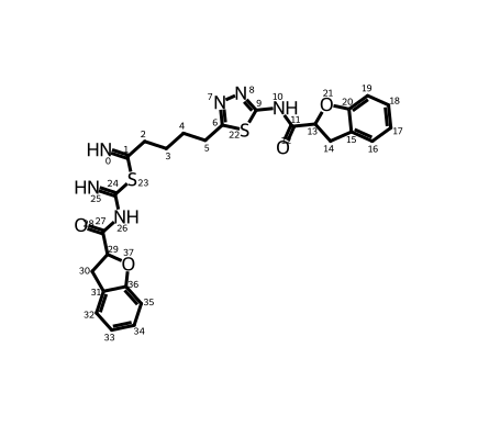 N=C(CCCCc1nnc(NC(=O)C2Cc3ccccc3O2)s1)SC(=N)NC(=O)C1Cc2ccccc2O1